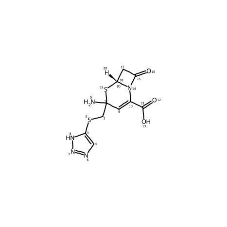 NC1(CSc2cnn[nH]2)C=C(C(=O)O)N2C(=O)C[C@H]2S1